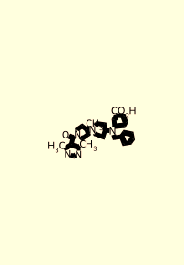 Cc1ncnc(C)c1C(=O)N1CCC(C)(N2CCC(N(Cc3ccccc3)c3cccc(C(=O)O)c3)CC2)CC1